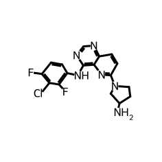 NC1CCN(c2ccc3ncnc(Nc4ccc(F)c(Cl)c4F)c3n2)C1